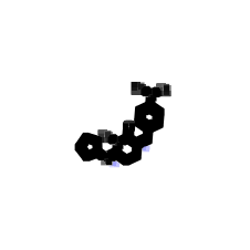 CCN1C(=O)/C(=C\c2ccc(N(CC)CC)cc2)CC/C1=N/C1CCCC1